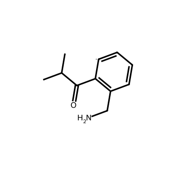 CC(C)C(=O)c1[c]cccc1CN